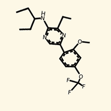 CCc1nc(-c2ccc(OC(F)(F)F)cc2OC)cnc1NC(CC)CC